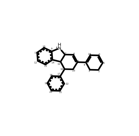 C1=CCCC(C2=CC3Nc4ccccc4C3C(c3ccccc3)C2)=C1